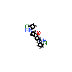 O=C1c2cc(Nc3ccccc3Cl)ccc2-c2ccc(Nc3ccccc3Cl)cc21